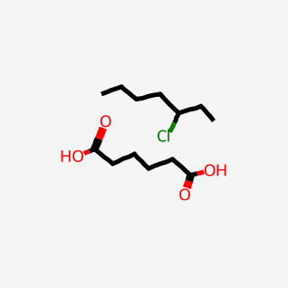 CCCCC(Cl)CC.O=C(O)CCCCC(=O)O